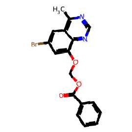 Cc1ncnc2c(OCOC(=O)c3ccccc3)cc(Br)cc12